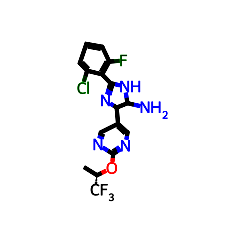 C[C@H](Oc1ncc(C2N=C(c3c(F)cccc3Cl)NC2N)cn1)C(F)(F)F